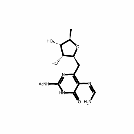 CC(=O)Nc1nc(C[C@@H]2O[C@H](C)[C@@H](O)[C@H]2O)c(/N=C\N)c(=O)[nH]1